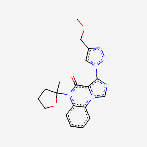 COCc1cn(-c2ncn3c2c(=O)n(C2(C)CCCO2)c2ccccc23)nn1